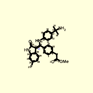 COC(=O)Cc1ccc(/C(Nc2ccc(C(C)(C)N)cc2)=C2/C(=O)Nc3cc(F)ccc32)cc1